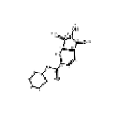 O=C(OC1CCCCC1)c1ccc2c(c1)C(=O)N(O)C2=O